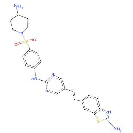 Nc1nc2ccc(C=Cc3cnc(Nc4ccc(S(=O)(=O)N5CCC(N)CC5)cc4)nc3)cc2s1